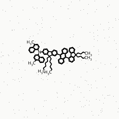 CCCCCCC1(CCCCCC)c2cc(-c3c4ccccc4c(-c4cccc5c4-c4ccccc4C5(CCCC)CCCC)c4ccccc34)ccc2-c2ccc(N(c3ccc(C)c4ccccc34)c3ccc(C)c4ccccc34)cc21